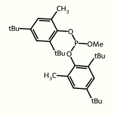 COP(Oc1c(C)cc(C(C)(C)C)cc1C(C)(C)C)Oc1c(C)cc(C(C)(C)C)cc1C(C)(C)C